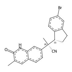 Cc1cc2ccc([C@](C)(C#N)[C@H]3CCc4cc(Br)ccc43)cc2[nH]c1=O